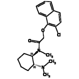 CN(C)[C@@H]1CCCC[C@H]1N(C)C(=O)COc1c(Cl)ccc2ccccc12